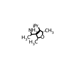 CC(C)C1=C(C(C)N)[C@H](C)O[C@H]1C